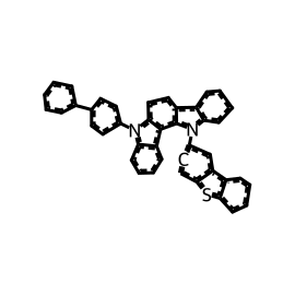 c1ccc(-c2ccc(-n3c4ccccc4c4c3ccc3c5ccccc5n(-c5ccc6sc7ccccc7c6c5)c34)cc2)cc1